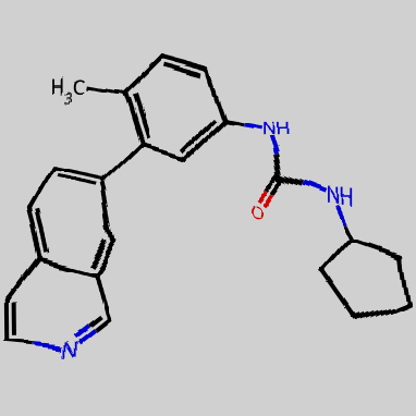 Cc1ccc(NC(=O)NC2CCCC2)cc1-c1ccc2ccncc2c1